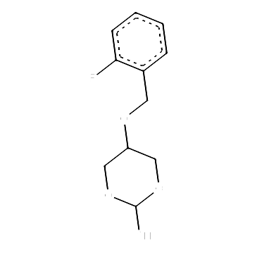 CC1OCC(OCc2ccccc2F)CO1